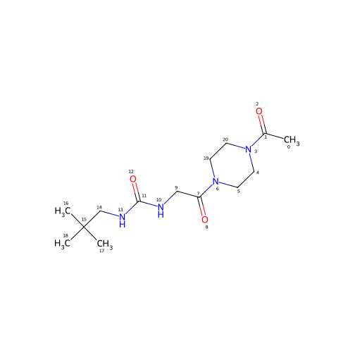 CC(=O)N1CCN(C(=O)CNC(=O)NCC(C)(C)C)CC1